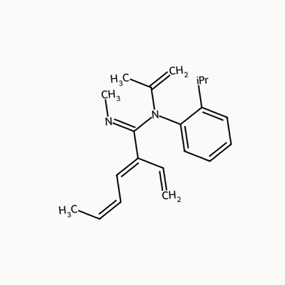 C=CC(=C\C=C/C)/C(=N/C)N(C(=C)C)c1ccccc1C(C)C